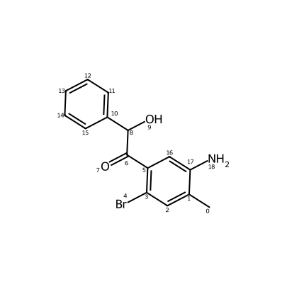 Cc1cc(Br)c(C(=O)C(O)c2ccccc2)cc1N